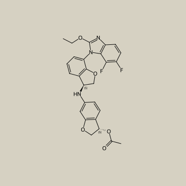 CCOc1nc2ccc(F)c(F)c2n1-c1cccc2c1OC[C@H]2Nc1ccc2c(c1)OC[C@H]2OC(C)=O